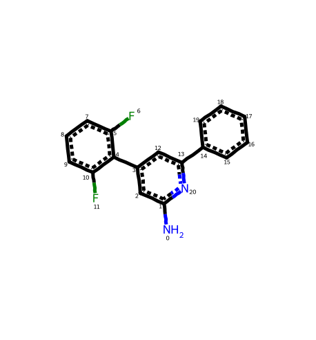 Nc1cc(-c2c(F)cccc2F)cc(-c2ccccc2)n1